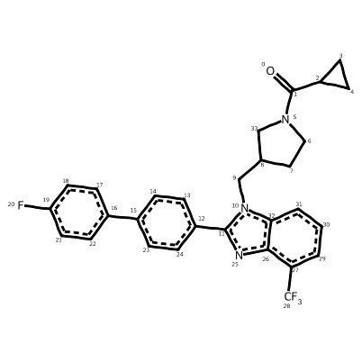 O=C(C1CC1)N1CCC(Cn2c(-c3ccc(-c4ccc(F)cc4)cc3)nc3c(C(F)(F)F)cccc32)C1